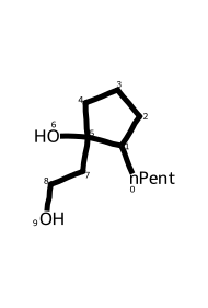 CCCCCC1CCCC1(O)CCO